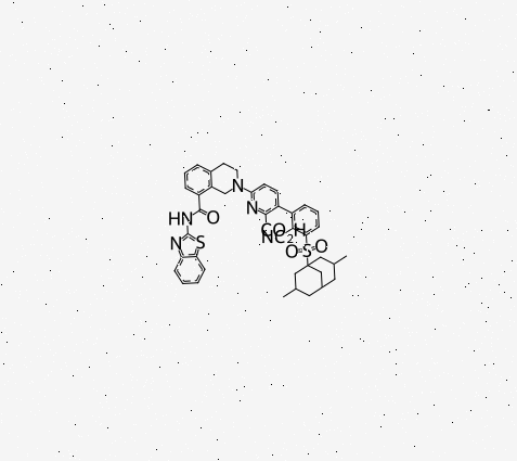 CC1CC2CC(C)CC(S(=O)(=O)c3cccc(-c4ccc(N5CCc6cccc(C(=O)Nc7nc8ccccc8s7)c6C5)nc4C(=O)O)c3C#N)(C1)C2